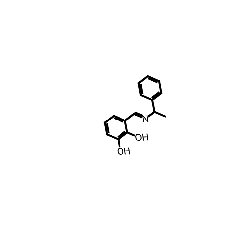 CC(/N=C/c1cccc(O)c1O)c1ccccc1